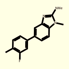 CNc1nc2cc(-c3ccc(C)c(F)c3)ccc2n1C